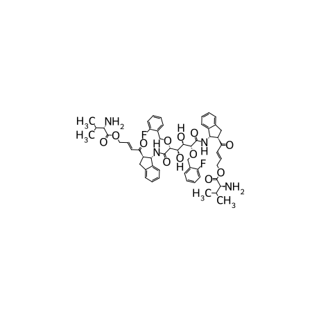 CC(C)[C@H](N)C(=O)OCC=CC(=O)[C@@H]1Cc2ccccc2[C@H]1NC(=O)[C@H](OCc1ccccc1F)[C@H](O)[C@@H](O)[C@@H](OCc1ccccc1F)C(=O)N[C@@H]1c2ccccc2C[C@H]1C(=O)C=CCOC(=O)[C@@H](N)C(C)C